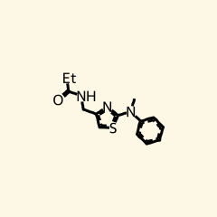 CCC(=O)NCc1csc(N(C)c2ccccc2)n1